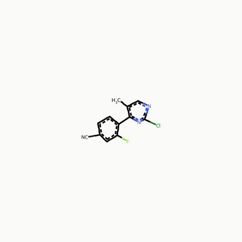 Cc1cnc(Cl)nc1-c1ccc(C#N)cc1F